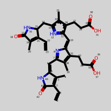 C=CC1=C(C)/C(=C\C2=NC(=C\c3[nH]c(CC4NC(=O)C(C)=C4C=C)c(C)c3CCC(=O)O)/C(CCC(=O)O)=C2C)NC1=O